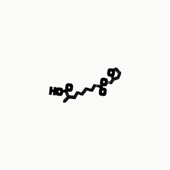 CC(=CCCCCCC(=O)OCC1CCCO1)C(=O)O